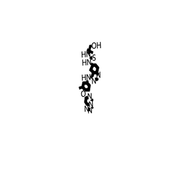 Cc1cc(Nc2ncnc3ccc(NC(=S)NC(C)(C)CO)cc23)ccc1Oc1cc2nncn2cn1